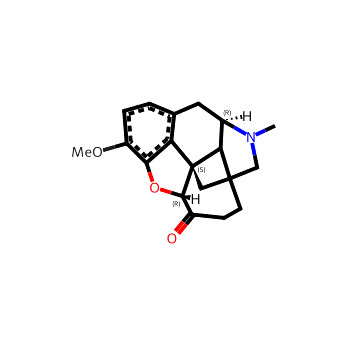 COc1ccc2c3c1O[C@H]1C(=O)CCC45CN(C)[C@H](C2)C4[C@@]31C5